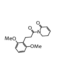 COc1cccc(OC)c1CCC(=O)N1CCC=CC1=O